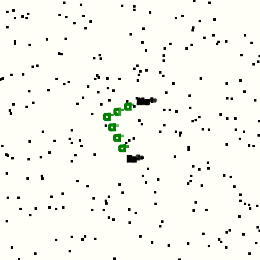 [Cl-].[Cl-].[Cl-].[Cl-].[Cl-].[Cl-].[Mo+4].[Ra+2]